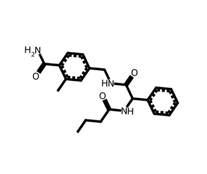 CCCC(=O)NC(C(=O)NCc1ccc(C(N)=O)c(C)c1)c1ccccc1